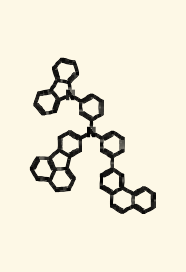 c1cc(-c2ccc3ccc4ccccc4c3c2)cc(N(c2cccc(-n3c4ccccc4c4ccccc43)c2)c2ccc3c(c2)-c2cccc4cccc-3c24)c1